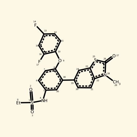 CCS(=O)(=O)Nc1ccc(Oc2ccc(F)cc2F)c(-c2ccc3c(c2)sc(=O)n3C)c1